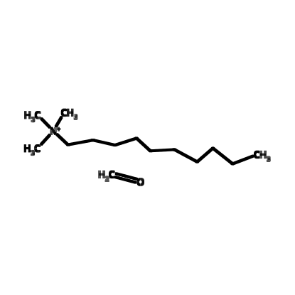 C=O.CCCCCCCCCC[N+](C)(C)C